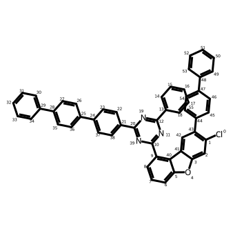 Clc1cc2oc3cccc(-c4nc(-c5ccccc5)nc(-c5ccc(-c6ccc(-c7ccccc7)cc6)cc5)n4)c3c2cc1-c1ccc(-c2ccccc2)cc1